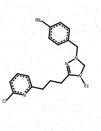 CCN1CN(Cc2ccc(C(C)(C)C)cc2)N=C1CCCc1cccc(Cl)n1